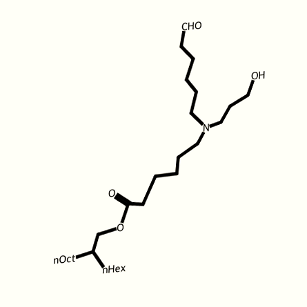 CCCCCCCCC(CCCCCC)COC(=O)CCCCCN(CCCO)CCCCCC=O